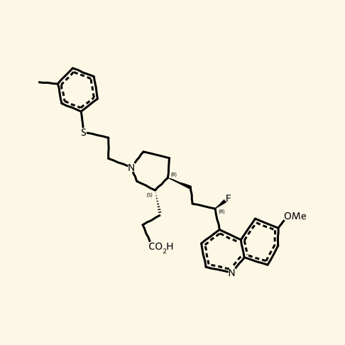 COc1ccc2nccc([C@H](F)CC[C@@H]3CCN(CCSc4cccc(C)c4)C[C@H]3CCC(=O)O)c2c1